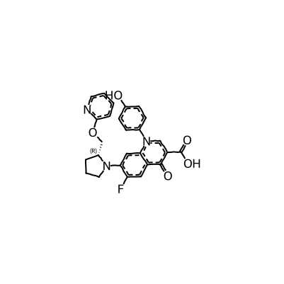 O=C(O)c1cn(-c2ccc(O)cc2)c2cc(N3CCC[C@@H]3COc3ccccn3)c(F)cc2c1=O